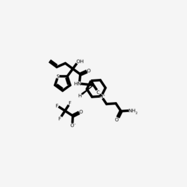 C=CCC(O)(C(=O)N[C@H]1C[N+]2(CCC(N)=O)CCC1CC2)c1cccs1.O=C([O-])C(F)(F)F